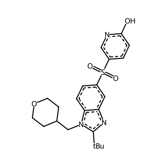 CC(C)(C)c1nc2cc(S(=O)(=O)c3ccc(O)nc3)ccc2n1CC1CCOCC1